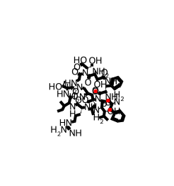 CCC(C)[C@H](NC(=O)[C@@H](CCCNC(=N)N)NC(=O)[C@@](CC(C)C)(C(=O)C(N)CN)N(C(=O)[C@H](Cc1ccccc1)NC(=O)[C@H](N)Cc1ccccc1)C(=O)[C@@H](N)[C@H](O)C(C)C)C(=O)N[C@H](C(=O)NCC(=O)N(C(=O)[C@@H](N)[C@H](O)C(N)=O)[C@@H](CO)C(=O)O)[C@H](C)O